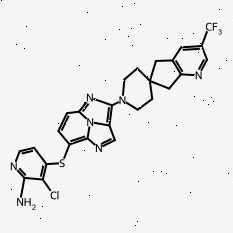 Nc1nccc(Sc2ccc3nc(N4CCC5(CC4)Cc4cc(C(F)(F)F)cnc4C5)c4cnc2n34)c1Cl